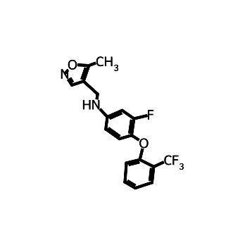 Cc1oncc1CNc1ccc(Oc2ccccc2C(F)(F)F)c(F)c1